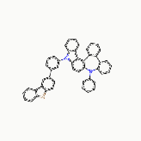 c1ccc(N2c3ccccc3-c3ccccc3-c3c2ccc2c3c3ccccc3n2-c2cccc(-c3ccc4sc5ccccc5c4c3)c2)cc1